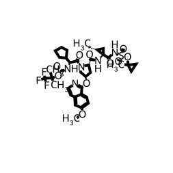 CC[C@@H]1C[C@]1(NC(=O)[C@@H]1C[C@@H](Oc2nccc3cc(OC)ccc23)CN1C(=O)[C@@H](NC(=O)OC(C)(C)C(F)(F)F)C1CCCC1)C(=O)NS(=O)(=O)OC1(C)CC1